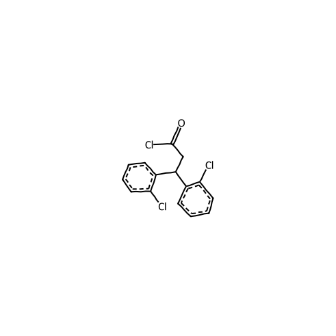 O=C(Cl)CC(c1ccccc1Cl)c1ccccc1Cl